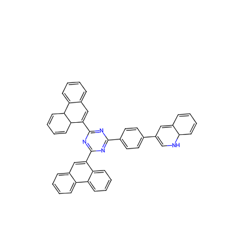 C1=CC2=CC(c3ccc(-c4nc(C5=Cc6ccccc6C6C=CC=CC56)nc(-c5cc6ccccc6c6ccccc56)n4)cc3)=CNC2C=C1